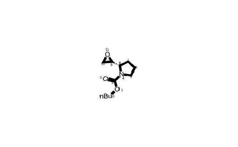 CCCCOC(=O)N1CCC[C@H]1C1CO1